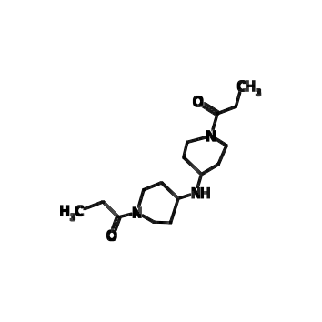 CCC(=O)N1CCC(NC2CCN(C(=O)CC)CC2)CC1